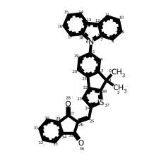 CC1(C)c2cc(-n3c4ccccc4c4ccccc43)ccc2-c2cc(C=C3C(=O)c4ccccc4C3=O)sc21